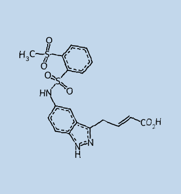 CS(=O)(=O)c1ccccc1S(=O)(=O)Nc1ccc2[nH]nc(C/C=C/C(=O)O)c2c1